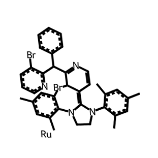 Cc1cc(C)c(N2CCN(c3c(C)cc(C)cc3C)C2=C2C=CN=C(C(c3ccccc3)c3ncccc3Br)C2Br)c(C)c1.[Ru]